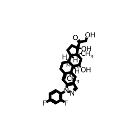 C[C@]12Cc3cnn(-c4ccc(F)cc4F)c3C=C1CC[C@@H]1[C@@H]2[C@@H](O)C[C@@]2(C)[C@H]1CC[C@]2(O)C(=O)CO